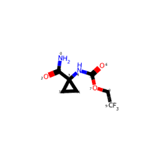 NC(=O)C1(NC(=O)OCC(F)(F)F)CC1